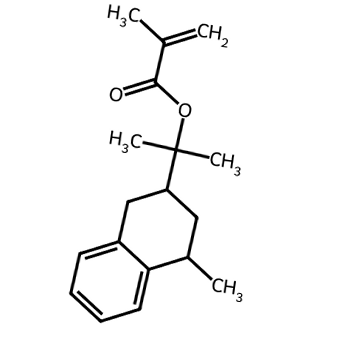 C=C(C)C(=O)OC(C)(C)C1Cc2ccccc2C(C)C1